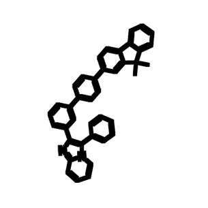 CC1(C)c2ccccc2-c2ccc(-c3ccc(-c4cccc(-c5nc6ccccn6c5-c5ccccc5)c4)cc3)cc21